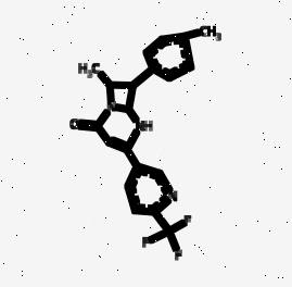 Cc1ccc(C2C(C)N3C(=O)C=C(c4ccc(C(F)(F)F)nc4)NC23)cc1